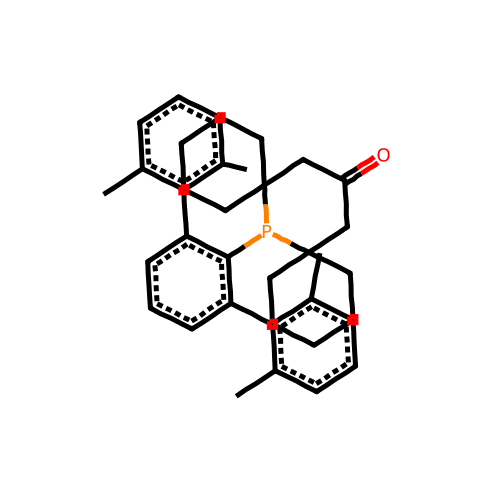 Cc1cccc(C)c1-c1cccc(-c2c(C)cccc2C)c1P1C2(CCCCC2)CC(=O)CC12CCCCC2